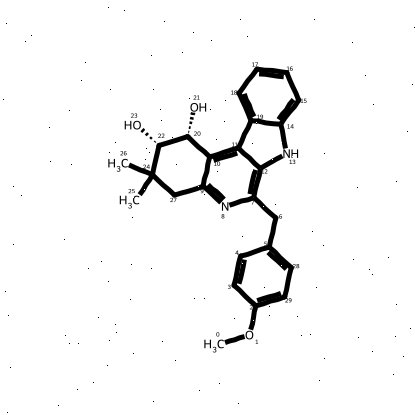 COc1ccc(Cc2nc3c(c4c2[nH]c2ccccc24)[C@@H](O)[C@@H](O)C(C)(C)C3)cc1